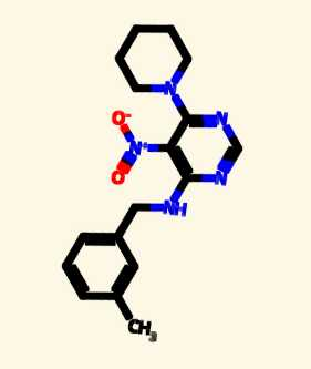 Cc1cccc(CNc2ncnc(N3CCCCC3)c2[N+](=O)[O-])c1